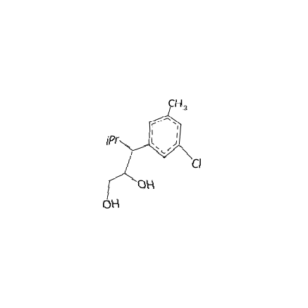 Cc1cc(Cl)cc(C(C(C)C)C(O)CO)c1